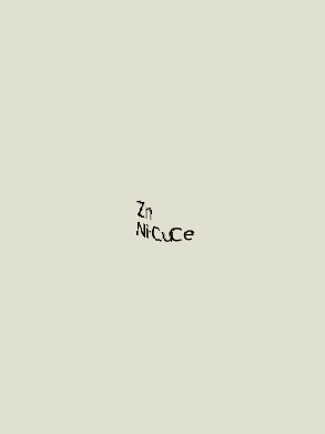 [Ce].[Cu].[Ni].[Zn]